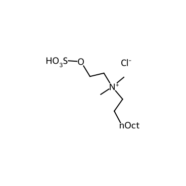 CCCCCCCCCC[N+](C)(C)CCOS(=O)(=O)O.[Cl-]